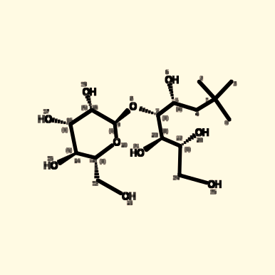 CC(C)(C)C[C@@H](O)[C@@H](O[C@H]1O[C@H](CO)[C@@H](O)[C@H](O)[C@@H]1O)[C@H](O)[C@H](O)CO